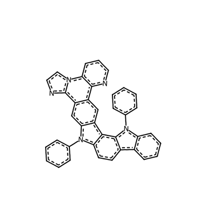 c1ccc(-n2c3cc4c(cc3c3c2ccc2c5ccccc5n(-c5ccccc5)c23)c2ncccc2n2ccnc42)cc1